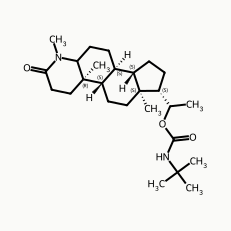 CC(OC(=O)NC(C)(C)C)[C@H]1CC[C@H]2[C@@H]3CCC4N(C)C(=O)CC[C@]4(C)[C@H]3CC[C@]12C